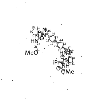 COCCCNC(=O)[C@@H]1CCCC[C@@H]1c1ncc(-c2ccc(-c3ccc(-c4cnc([C@@H]5CCCN5C(=O)[C@@H](NC(=O)OC)C(C)C)[nH]4)cc3)cc2)[nH]1